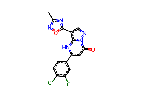 Cc1noc(-c2cnn3c(=O)cc(-c4ccc(Cl)c(Cl)c4)[nH]c23)n1